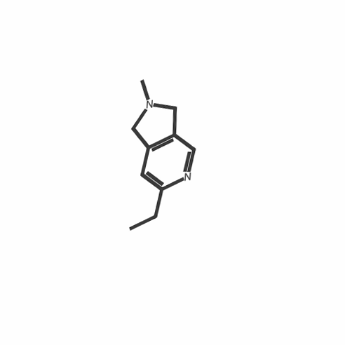 CCc1cc2c(cn1)CN(C)C2